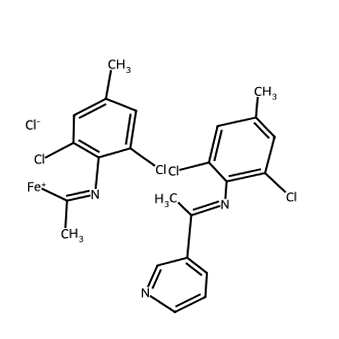 CC(=Nc1c(Cl)cc(C)cc1Cl)c1cccnc1.C[C]([Fe+])=Nc1c(Cl)cc(C)cc1Cl.[Cl-]